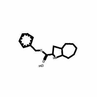 Cl.O=C(OCc1ccccc1)C1CC2CCCCCC2N1